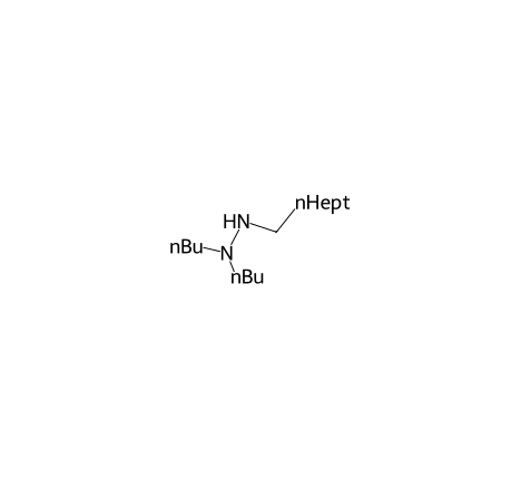 CCCCCCCCNN(CCCC)CCCC